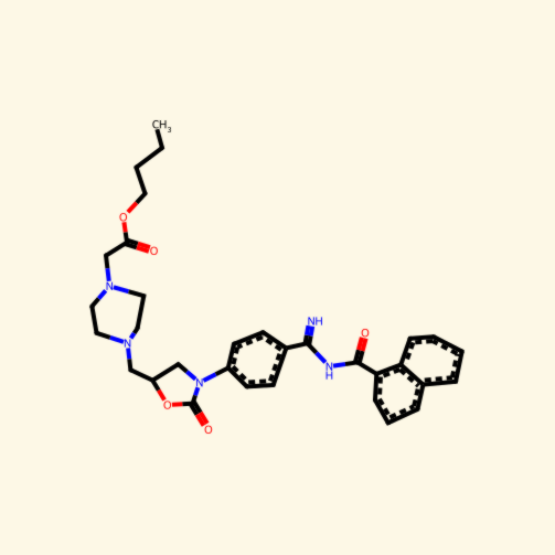 CCCCOC(=O)CN1CCN(CC2CN(c3ccc(C(=N)NC(=O)c4cccc5ccccc45)cc3)C(=O)O2)CC1